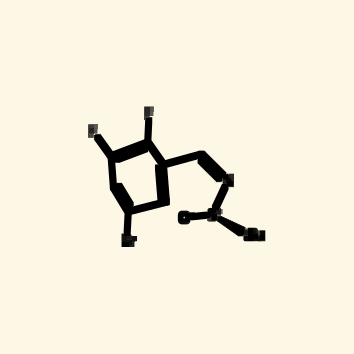 CC(C)(C)[S@@+]([O-])/N=C\c1cc(Br)cc(F)c1F